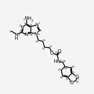 CNc1nc(N)c2ncn(CCCCOC(=O)NCC3C=C4OCOC4=CC3)c2n1